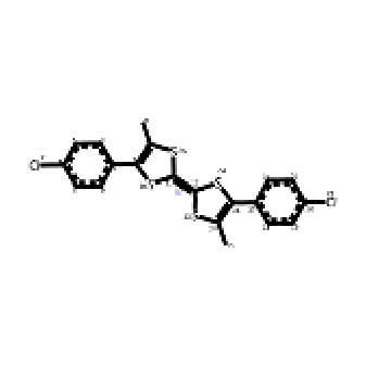 CC1=C(c2ccc(Cl)cc2)S/C(=C2\SC(C)=C(c3ccc(Cl)cc3)S2)S1